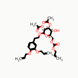 C=CCOC(=O)OC[C@H]1OC(OCCc2ccc(OCC=C)c(OCC=C)c2)[C@H](OC(C)=O)[C@@H](OC(C)=O)[C@@H]1O